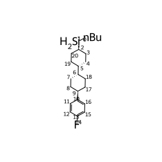 CCCC[SiH2][C@H]1CC[C@H]([C@H]2CC[C@H](c3ccc(F)cc3)CC2)CC1